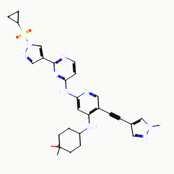 Cn1cc(C#Cc2cnc(Nc3ccnc(-c4cnn(S(=O)(=O)C5CC5)c4)n3)cc2NC2CCC(C)(O)CC2)cn1